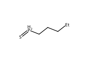 CCCCC[PH2]=S